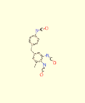 Cc1cc(Cc2ccc(N=C=O)cc2)cc(N=C=O)c1N=C=O